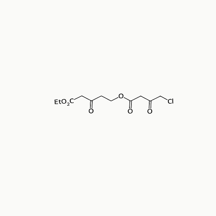 CCOC(=O)CC(=O)CCOC(=O)CC(=O)CCl